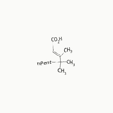 CCCCCC(C)(C)C(C)=CC(=O)O